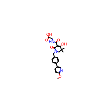 COc1ccc(-c2ccc(CN3CC(C)(C)C(O)=C(C(=O)NCC(=O)O)C3=O)cc2)cn1